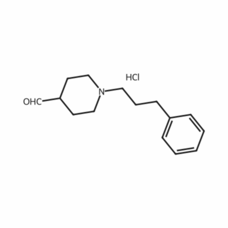 Cl.O=CC1CCN(CCCc2ccccc2)CC1